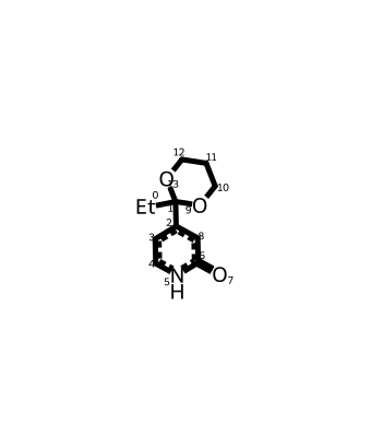 CCC1(c2cc[nH]c(=O)c2)OCCCO1